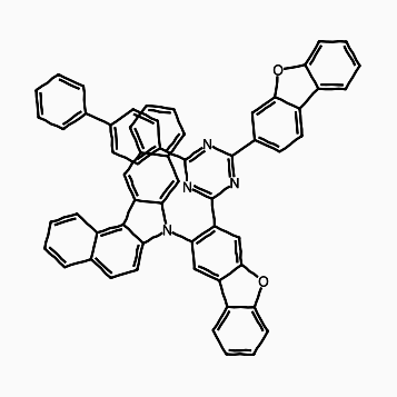 c1ccc(-c2ccc(-c3nc(-c4ccc5c(c4)oc4ccccc45)nc(-c4cc5oc6ccccc6c5cc4-n4c5cc6ccccc6cc5c5c6ccccc6ccc54)n3)cc2)cc1